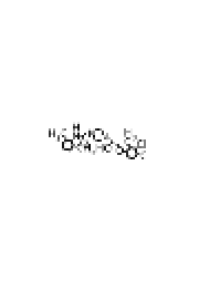 Cc1cccc(C)c1NC(=O)CN1CCN(CC(O)COc2ccc(Cl)c(Cl)c2C)CC1